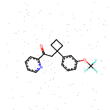 O=C(CC1(c2cccc(OC(F)(F)F)c2)CCC1)c1ccccn1